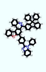 c1ccc(-n2c(-c3ccc(-c4cc5c(-c6ccc7c(c6)C(c6ccccc6)(c6ccccc6)c6ccccc6-7)nc6ccccc6c5c5c4oc4ccccc45)cc3)nc3ccccc32)cc1